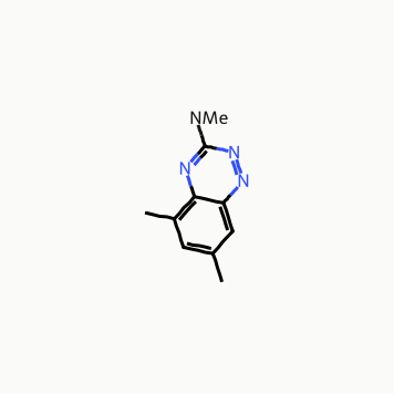 CNc1nnc2cc(C)cc(C)c2n1